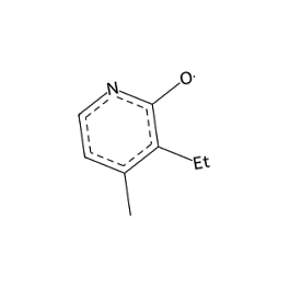 CCc1c(C)ccnc1[O]